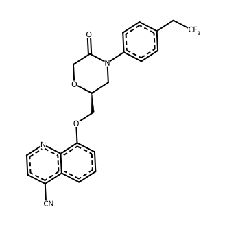 N#Cc1ccnc2c(OC[C@@H]3CN(c4ccc(CC(F)(F)F)cc4)C(=O)CO3)cccc12